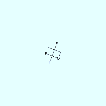 CC1(F)COC1(F)F